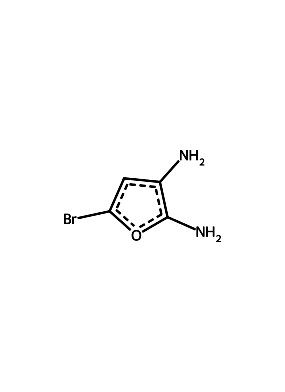 Nc1cc(Br)oc1N